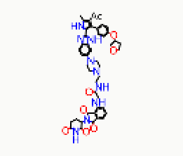 CC(=O)c1c(C)[nH]c(-c2nc3ccc(N4CCN(CCNC(=O)CNc5cccc6c5C(=O)N(C5CCC(=O)NC5=O)C6=O)CC4)cc3[nH]2)c1-c1ccc(OC2CCOC2)cc1